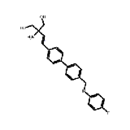 NC(/C=C/c1ccc(-c2ccc(CNc3ccc(F)cc3)cc2)cc1)(CO)CO